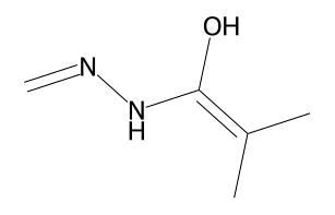 C=NNC(O)=C(C)C